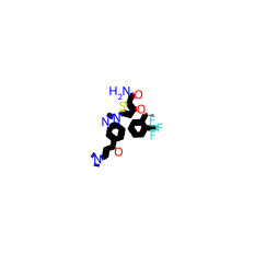 C[C@@H](Oc1cc(-n2cnc3cc(C(=O)/C=C/N(C)C)ccc32)sc1C(N)=O)c1ccccc1C(F)(F)F